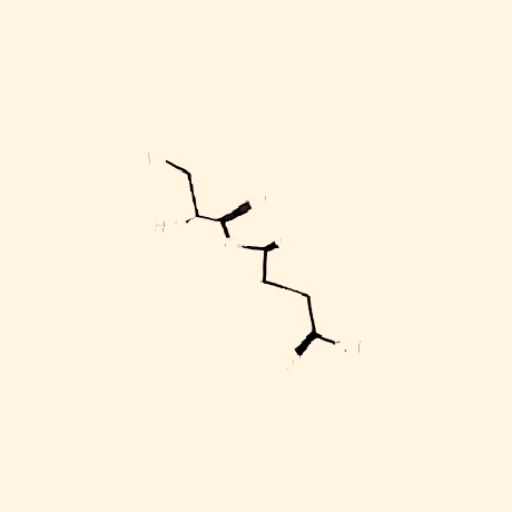 CC(C)C[C@H](N)C(=O)OC(=O)CCC(N)=O